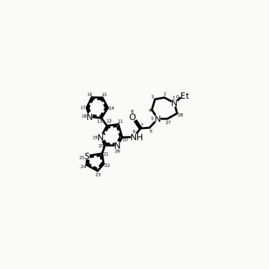 CCN1CCCN(CC(=O)Nc2cc(-c3ccccn3)nc(-c3cccs3)n2)CC1